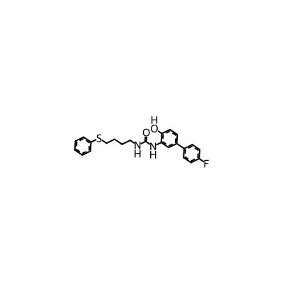 O=C(NCCCCSc1ccccc1)Nc1cc(-c2ccc(F)cc2)ccc1O